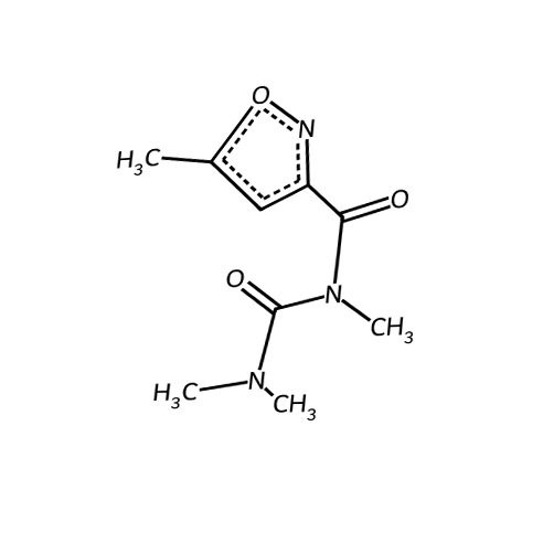 Cc1cc(C(=O)N(C)C(=O)N(C)C)no1